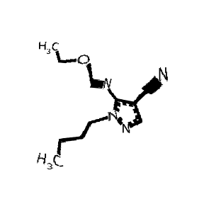 CCCCn1ncc(C#N)c1N=COCC